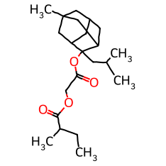 CCC(C)C(=O)OCC(=O)OC1(CC(C)C)C2CC3CC1CC(C)(C3)C2